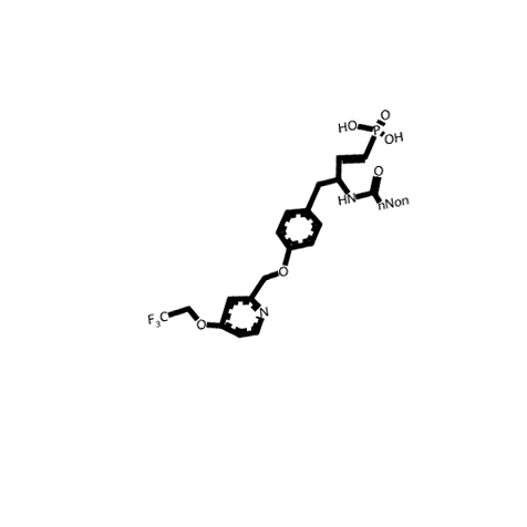 CCCCCCCCCC(=O)NC(C=CP(=O)(O)O)Cc1ccc(OCc2cc(OCC(F)(F)F)ccn2)cc1